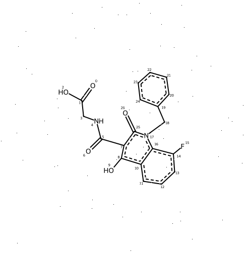 O=C(O)CNC(=O)c1c(O)c2cccc(F)c2n(Cc2ccccc2)c1=O